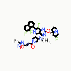 CC(C)c1noc(/C=C/C(=O)N2CC[C@@H](N(C)c3nc(OC[C@@]45CCCN4C[C@H](F)C5)nc4c(F)c(-c5cccc6ccc(F)c(F)c56)ncc34)C2)n1